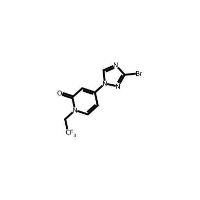 O=c1cc(-n2cnc(Br)n2)ccn1CC(F)(F)F